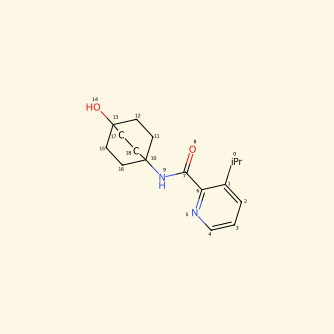 CC(C)c1cccnc1C(=O)NC12CCC(O)(CC1)CC2